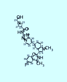 C[C@H](NC(=O)c1cn(C)c2ccc(-c3ccn4nc(NC(=O)C5CN(CO)C5)nc4c3)cc12)c1cccc(F)c1